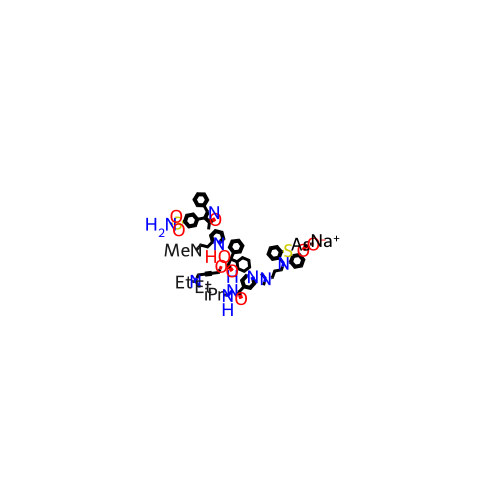 CC(C)NNC(=O)c1ccncc1.CCN(CC)CC#CCOC(=O)C(O)(c1ccccc1)C1CCCCC1.CN(C)CCCN1c2ccccc2Sc2ccccc21.CNCCc1ccccn1.Cc1onc(-c2ccccc2)c1-c1ccc(S(N)(=O)=O)cc1.O=[As][O-].[Na+]